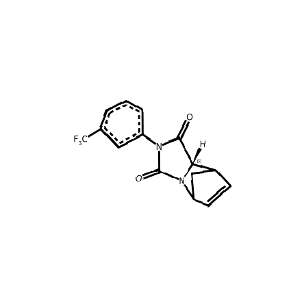 O=C1[C@@H]2C3C=CC(C3)N2C(=O)N1c1cccc(C(F)(F)F)c1